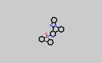 O=P1(c2cc3c(cn2)c2ccccc2n2c4ccccc4nc32)c2ccccc2-c2ccccc21